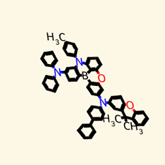 Cc1ccc(N2c3cc(N(c4ccccc4)c4ccccc4)ccc3B3c4ccc(N(c5ccc(-c6ccccc6)cc5)c5ccc6c(c5)C(C)(C)c5ccccc5O6)cc4Oc4cccc2c43)cc1